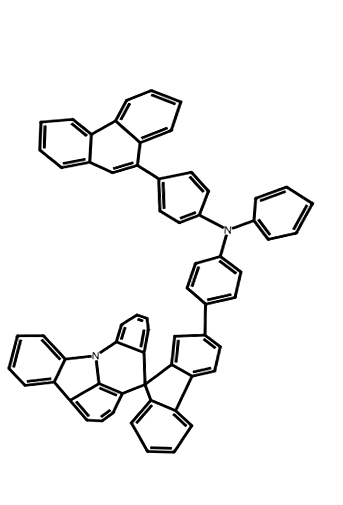 c1ccc(N(c2ccc(-c3ccc4c(c3)C3(c5ccccc5-4)c4ccccc4-n4c5ccccc5c5cccc3c54)cc2)c2ccc(-c3cc4ccccc4c4ccccc34)cc2)cc1